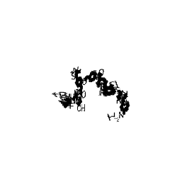 Cc1ncsc1-c1ccc(CNC(=O)[C@@H]2C[C@@H](O)CN2C(=O)[C@@H](NC(=O)C2(F)CC2)C(C)(C)C)c(OCC2CCN(C(=O)C3CCN(c4nccc(Sc5cnc(N6CCC(C)(CN)CC6)cn5)c4Cl)CC3)CC2)c1